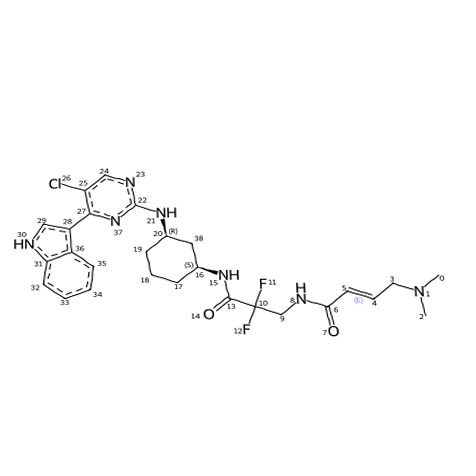 CN(C)C/C=C/C(=O)NCC(F)(F)C(=O)N[C@H]1CCC[C@@H](Nc2ncc(Cl)c(-c3c[nH]c4ccccc34)n2)C1